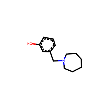 Oc1cccc(CN2CCCCCC2)c1